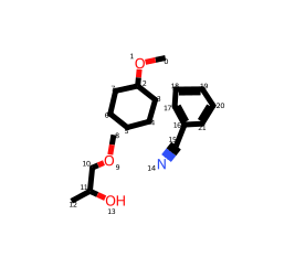 COC1CCCCC1.COCC(C)O.N#Cc1ccccc1